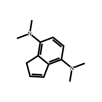 CN(C)c1ccc(N(C)C)c2c1C=CC2